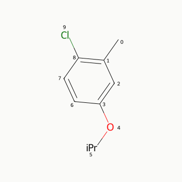 Cc1cc(OC(C)C)ccc1Cl